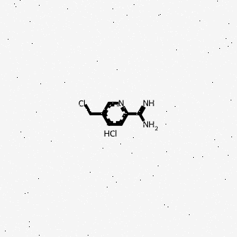 Cl.N=C(N)c1ccc(CCl)cn1